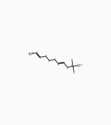 CCC=CCCCC=CCC(C)(C)[O]